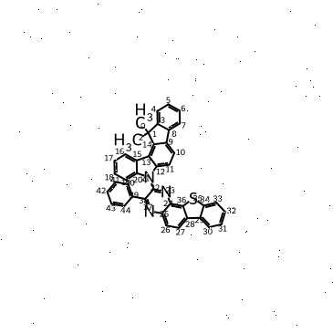 CC1(C)c2ccccc2-c2ccc3c(c21)c1ccccc1n3-c1nc2c(ccc3c4ccccc4sc32)nc1-c1ccccc1